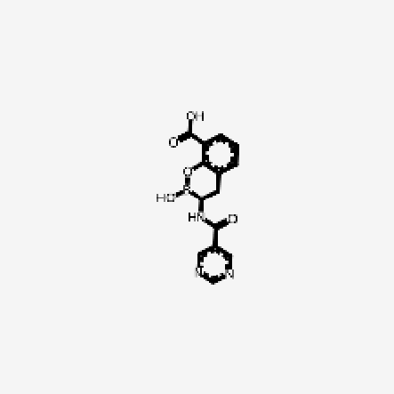 O=C(NC1Cc2cccc(C(=O)O)c2OB1O)c1cncnc1